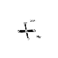 O=S(=O)([O-])[O-].[Na+].[Sn+4]